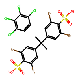 CC(C)(c1cc(Br)c(S(=O)(=O)O)c(Br)c1)c1cc(Br)c(S(=O)(=O)O)c(Br)c1.Clc1ccc(Cl)c(Cl)c1Cl